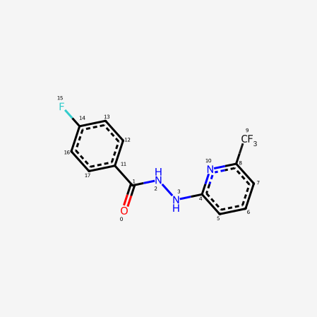 O=C(NNc1cccc(C(F)(F)F)n1)c1ccc(F)cc1